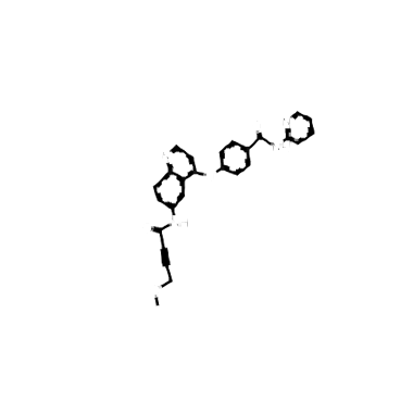 COCC#CC(=O)Nc1ccc2nccc(Oc3ccc(C(=O)Nc4ccccn4)cc3)c2c1